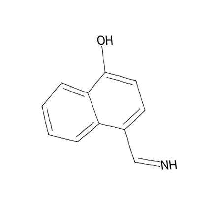 N=Cc1ccc(O)c2ccccc12